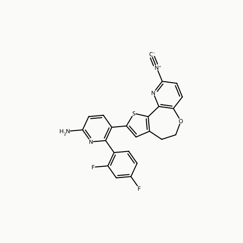 [C-]#[N+]c1ccc2c(n1)-c1sc(-c3ccc(N)nc3-c3ccc(F)cc3F)cc1CCO2